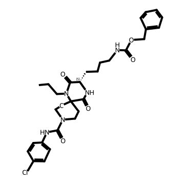 CCCN1C(=O)[C@H](CCCCNC(=O)OCc2ccccc2)NC(=O)C12CCN(C(=O)Nc1ccc(Cl)cc1)CC2